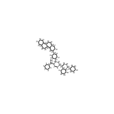 C1=CC(Nc2ccccc2)C(c2ccc(-c3ccc4ccc5c6ccccc6ccc5c4c3)cc2)CC1C1=CCC(c2ccccc2)c2ccccc21